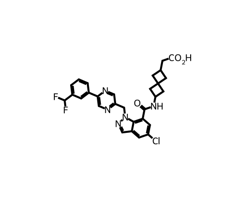 O=C(O)CC1CC2(C1)CC(NC(=O)c1cc(Cl)cc3cnn(Cc4cnc(-c5cccc(C(F)F)c5)cn4)c13)C2